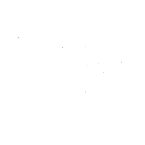 CCC[C@H](NC(=O)[C@H](CC(=O)OC(C)(C)C)NC(=O)OCc1ccccc1)C(=O)N[C@H](/C=C/C(C)=O)C[C@@H]1CCNC1=O